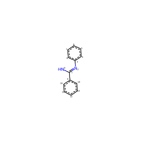 [NH]C(=Nc1ccccc1)c1ccccc1